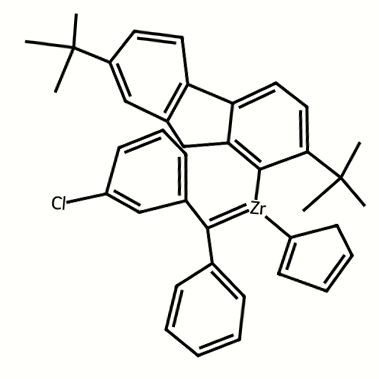 CC(C)(C)c1ccc2c(c1)Cc1c-2ccc(C(C)(C)C)[c]1/[Zr]([C]1=CC=CC1)=[C](/c1ccccc1)c1cccc(Cl)c1